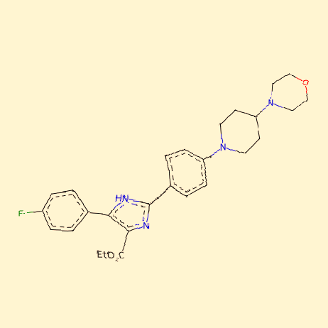 CCOC(=O)c1nc(-c2ccc(N3CCC(N4CCOCC4)CC3)cc2)[nH]c1-c1ccc(F)cc1